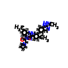 CNc1ncc2cc(-c3cc(C(=O)Nc4cc(C)ccc4NC(=O)CN4CCCC4)ccc3C)ccc2n1